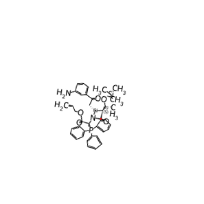 C=CCOC(=O)C(N1C(=O)[C@H]([C@@H](C)O[Si](C)(C)C)[C@H]1CC(=O)c1cccc(N)c1)=P(c1ccccc1)(c1ccccc1)c1ccccc1